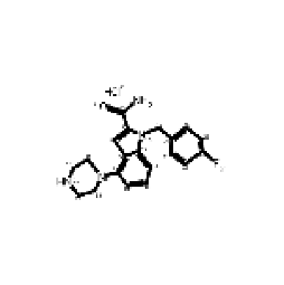 Cl.NC(=O)c1cc2c(N3CCNCC3)cccc2n1Cc1ccc(F)cc1